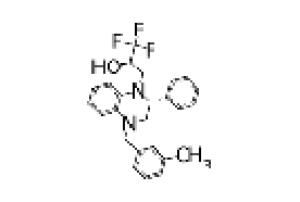 Cc1cccc(CN2C[C@@H](c3ccccc3)N(C[C@@H](O)C(F)(F)F)c3ccccc32)c1